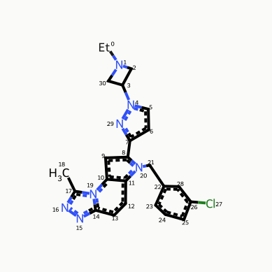 CCN1CC(n2ccc(-c3cc4c(ccc5nnc(C)n54)n3Cc3cccc(Cl)c3)n2)C1